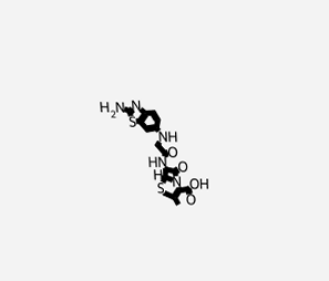 CC1=C(C(=O)O)N2C(=O)C(NC(=O)CNc3ccc4nc(N)sc4c3)[C@@H]2SC1